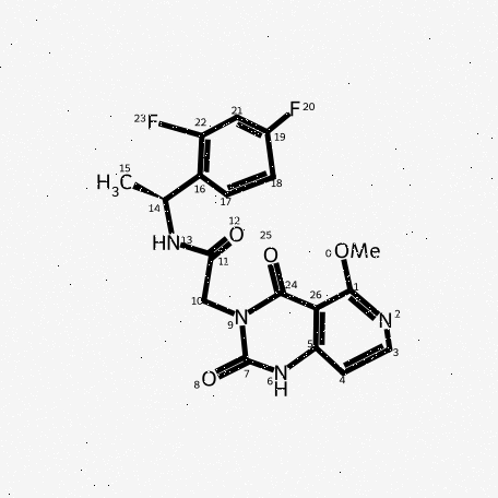 COc1nccc2[nH]c(=O)n(CC(=O)N[C@@H](C)c3ccc(F)cc3F)c(=O)c12